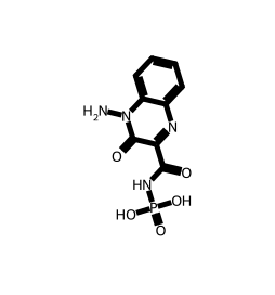 Nn1c(=O)c(C(=O)NP(=O)(O)O)nc2ccccc21